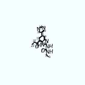 CCNC(=O)Nc1nc2cc(-c3cncnc3)cc(C(=O)CC)c2[nH]1